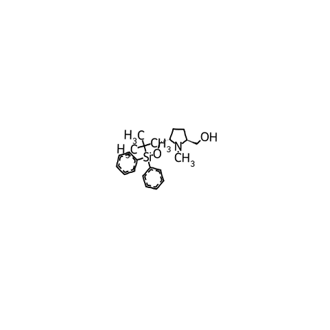 CN1[C@H](CO)CC[C@H]1CO[Si](c1ccccc1)(c1ccccc1)C(C)(C)C